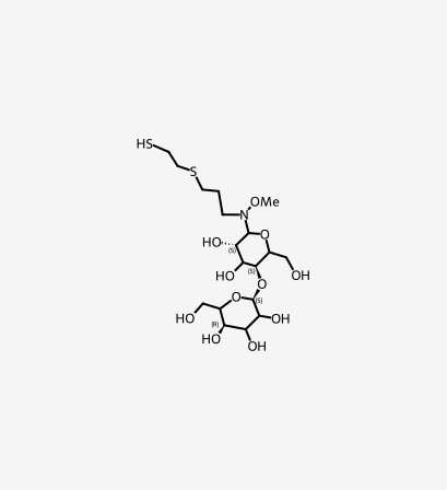 CON(CCCSCCS)C1OC(CO)[C@@H](O[C@@H]2OC(CO)[C@H](O)C(O)C2O)C(O)[C@@H]1O